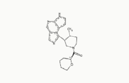 CC1CCN(C(=O)[C@@H]2CCCCO2)CC1c1ncc2cnc3[nH]ccc3n12